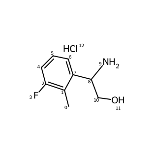 Cc1c(F)cccc1C(N)CO.Cl